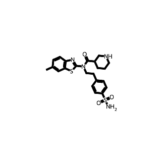 Cc1ccc2nc(N(CCc3ccc(S(N)(=O)=O)cc3)C(=O)C3CCCNC3)sc2c1